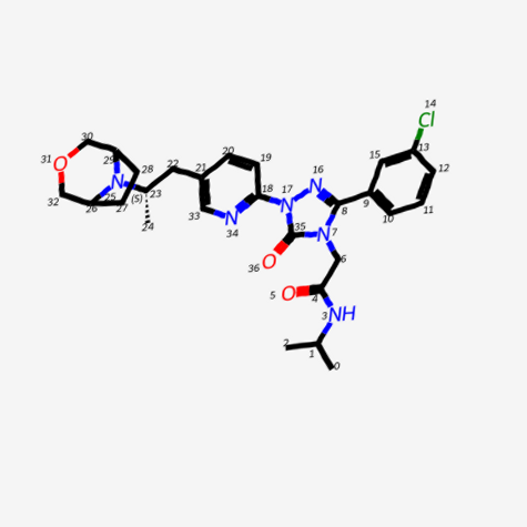 CC(C)NC(=O)Cn1c(-c2cccc(Cl)c2)nn(-c2ccc(C[C@H](C)N3C4CCC3COC4)cn2)c1=O